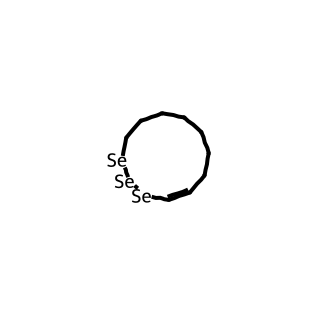 C1=C\[Se][Se][Se]CCCCCCC/1